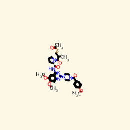 COc1ccc(C(=O)N2CCN(c3nc(NC(=O)[C@@H]4CCCN4C(=O)C(C)CSC(C)=O)c4cc(OC)c(OC)cc4n3)CC2)cc1